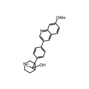 COc1ccc2cc(-c3ccc(C4(O)CN5CCC4CC5)cc3)cnc2c1